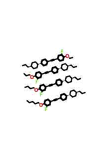 CCCCCOc1ccc(C#Cc2ccc([C@H]3CC[C@H](CCC)CC3)cc2)cc1F.CCCCOc1ccc(C#Cc2ccc([C@H]3CC[C@H](CCC)CC3)cc2)cc1F.CCCOc1ccc(C#Cc2ccc([C@H]3CC[C@H](CCC)CC3)cc2)cc1F.CCC[C@H]1CC[C@H](c2ccc(C#Cc3ccc(OCC)c(F)c3)cc2)CC1